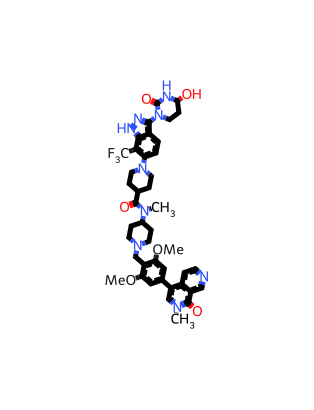 COc1cc(-c2cn(C)c(=O)c3cnccc23)cc(OC)c1CN1CCC(N(C)C(=O)C2CCN(c3ccc4c(N5CCC(O)NC5=O)n[nH]c4c3C(F)(F)F)CC2)CC1